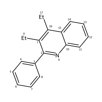 CCc1c(-c2ccccc2)nc2ccccc2c1CC